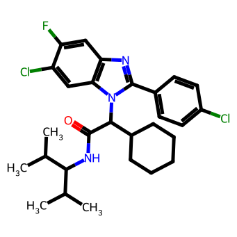 CC(C)C(NC(=O)C(C1CCCCC1)n1c(-c2ccc(Cl)cc2)nc2cc(F)c(Cl)cc21)C(C)C